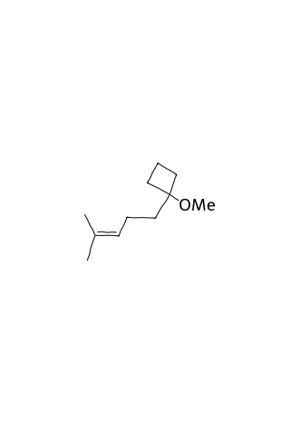 COC1(CCC=C(C)C)CCC1